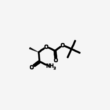 C[C@H](OC(=O)OC(C)(C)C)C(N)=O